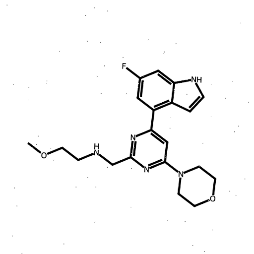 COCCNCc1nc(-c2cc(F)cc3[nH]ccc23)cc(N2CCOCC2)n1